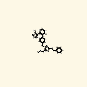 CCCc1nc(CCc2ccccc2)nn1Cc1ccc(-c2cccnc2-c2nnn[nH]2)cc1